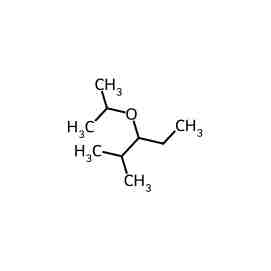 CCC(OC(C)C)C(C)C